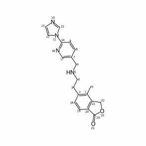 Cc1c(CCNCc2ccc(-n3ccnc3)nc2)ccc2c1COC2=O